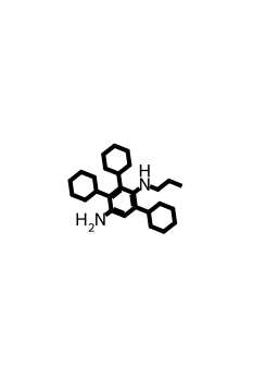 CCCNc1c(C2CCCCC2)cc(N)c(C2CCCCC2)c1C1CCCCC1